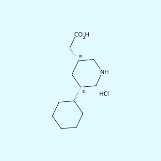 Cl.O=C(O)C[C@@H]1CNC[C@H](C2CCCCC2)C1